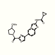 COC1CCN(C(=O)c2nc(-c3ccc4nc(NC(=O)C5CC5)cn4c3)cs2)C1